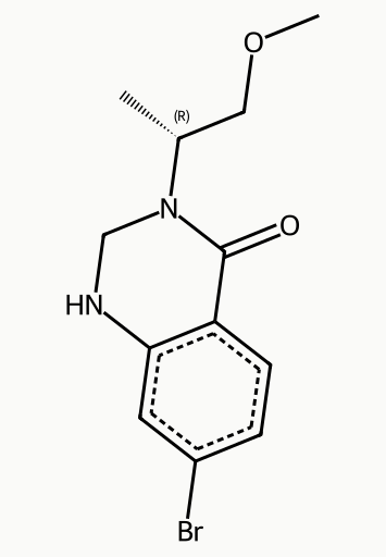 COC[C@@H](C)N1CNc2cc(Br)ccc2C1=O